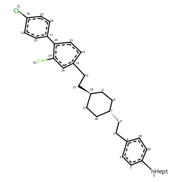 CCCCCCCc1ccc(CC[C@H]2CC[C@H](CCc3ccc(-c4ccc(Cl)cc4)c(F)c3)CC2)cc1